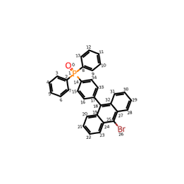 O=P(c1ccccc1)(c1ccccc1)c1ccc(-c2c3ccccc3c(Br)c3ccccc23)cc1